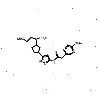 COC[C@H](C)N(C(=O)O)C1CCC(c2cc(NC(=O)Cc3cnc(OC)cn3)n[nH]2)C1